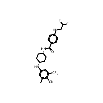 Cc1cc(N[C@H]2CC[C@@H](NC(=O)c3ccc(NCC(F)F)cc3)CC2)cc(C(F)(F)F)c1C#N